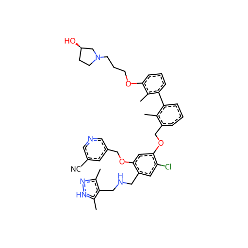 Cc1n[nH]c(C)c1CNCc1cc(Cl)c(OCc2cccc(-c3cccc(OCCCN4CC[C@@H](O)C4)c3C)c2C)cc1OCc1cncc(C#N)c1